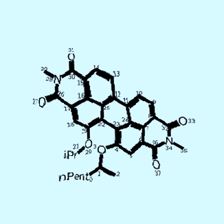 CCCCCC(C)Oc1cc2c3c(ccc4c5ccc6c7c(cc(OC(C)C)c(c1c34)c75)C(=O)N(C)C6=O)C(=O)N(C)C2=O